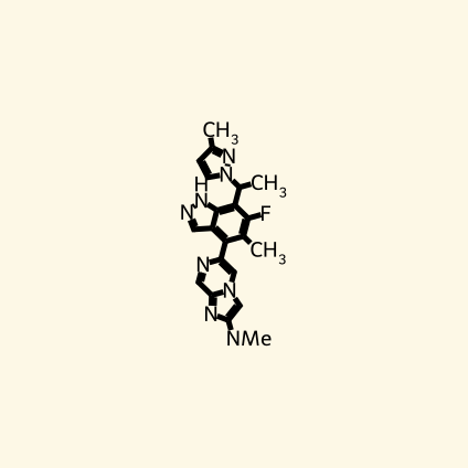 CNc1cn2cc(-c3c(C)c(F)c(C(C)n4ccc(C)n4)c4[nH]ncc34)ncc2n1